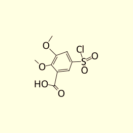 COc1cc(S(=O)(=O)Cl)cc(C(=O)O)c1OC